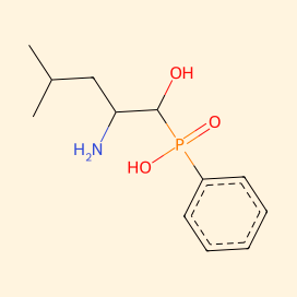 CC(C)CC(N)C(O)P(=O)(O)c1ccccc1